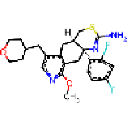 COc1ncc(CC2CCOCC2)c2c1C[C@]1(c3ccc(F)cc3F)N=C(N)SC[C@@H]1C2